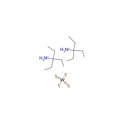 CCC([NH3+])(CC)CC.CCC([NH3+])(CC)CC.[S]=[W](=[S])([S-])[S-]